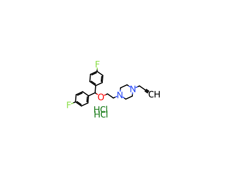 C#CCN1CCN(CCOC(c2ccc(F)cc2)c2ccc(F)cc2)CC1.Cl.Cl